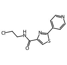 O=C(NCCCl)c1csc(-c2ccncc2)n1